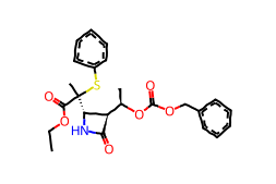 CCOC(=O)C(C)(Sc1ccccc1)[C@H]1NC(=O)[C@@H]1[C@@H](C)OC(=O)OCc1ccccc1